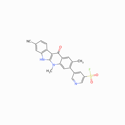 Cc1cc2c(=O)c3c4ccc(C#N)cc4[nH]c3n(C)c2cc1-c1cncc(S(=O)(=O)F)c1